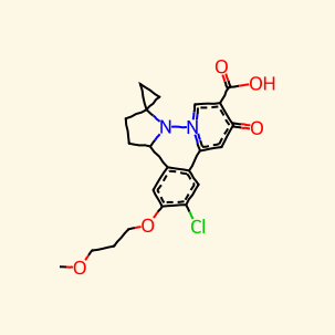 COCCCOc1cc2c(cc1Cl)-c1cc(=O)c(C(=O)O)cn1N1C2CCC12CC2